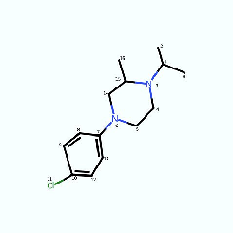 CC(C)N1CCN(c2ccc(Cl)cc2)CC1C